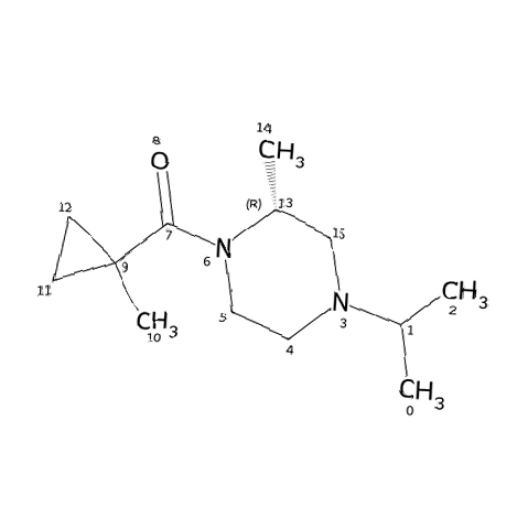 CC(C)N1CCN(C(=O)C2(C)CC2)[C@H](C)C1